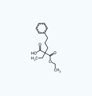 CCOC(=O)C(CC)(CCCc1ccccc1)C(=O)O